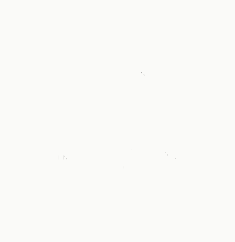 N#Cc1cc(N)c(Cl)c(C2CCNCC2)c1